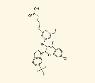 COc1cc(NC(C(=O)N2CCc3ccc(C(F)(F)F)cc32)[C@@H](C)c2ccc(Cl)cc2)cc(OCCCC(=O)O)c1